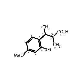 CCc1cc(OC)ccc1C(C)[C@H](C)C(=O)O